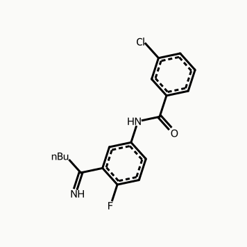 CCCCC(=N)c1cc(NC(=O)c2cccc(Cl)c2)ccc1F